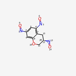 O=Nc1cc(N=O)c2c(c1)OC[C@H](N=O)C2